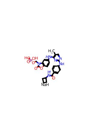 Cc1cnc(Nc2ccc(C(=O)NC3CCC3)cc2)nc1Nc1ccc2oc(=O)n(COP(=O)(O)O)c2c1.[NaH]